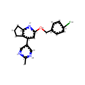 Cc1ncc(-c2cc(OCc3ccc(F)cc3)nc3c2CCC3)cn1